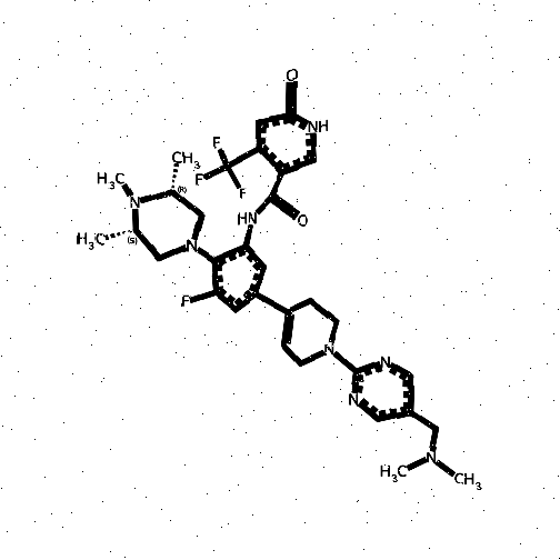 C[C@@H]1CN(c2c(F)cc(C3=CCN(c4ncc(CN(C)C)cn4)CC3)cc2NC(=O)c2c[nH]c(=O)cc2C(F)(F)F)C[C@H](C)N1C